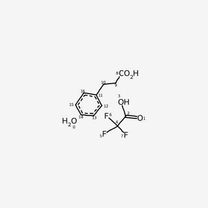 O.O=C(O)C(F)(F)F.O=C(O)CCc1ccccc1